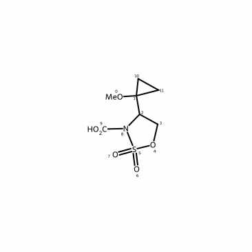 COC1(C2COS(=O)(=O)N2C(=O)O)CC1